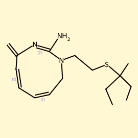 C=C1/C=C\C=C/CN(CCSC(C)(CC)CC)/C(N)=N\1